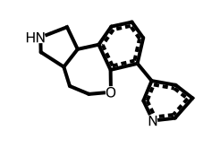 c1cncc(-c2cccc3c2OCCC2CNCC32)c1